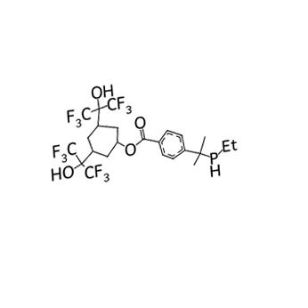 CCPC(C)(C)c1ccc(C(=O)OC2CC(C(O)(C(F)(F)F)C(F)(F)F)CC(C(O)(C(F)(F)F)C(F)(F)F)C2)cc1